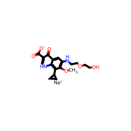 COc1c(NCCOCCO)cc2c(=O)c(C(=O)[O-])c[nH]c2c1C1CC1.[Na+]